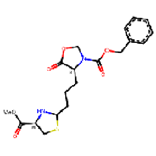 COC(=O)[C@@H]1CSC(CCC[C@H]2C(=O)OCN2C(=O)OCc2ccccc2)N1